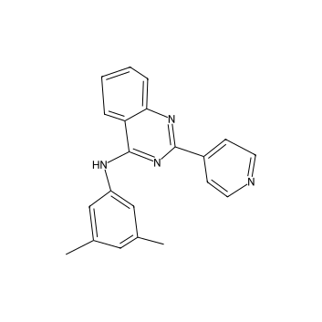 Cc1cc(C)cc(Nc2nc(-c3ccncc3)nc3ccccc23)c1